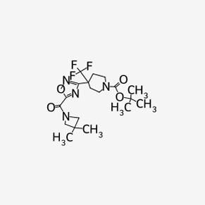 CC1(C)CN(C(=O)c2nc(C3(C(F)(F)F)CCN(C(=O)OC(C)(C)C)CC3)no2)C1